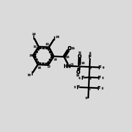 CC(F)(F)C(F)(F)C(F)(F)S(=O)(=O)NC(=O)c1cc(I)cc(I)c1I